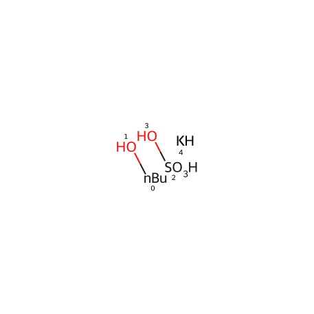 CCCCO.O=S(=O)(O)O.[KH]